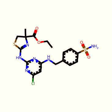 CCOC(=O)C1(C)CSC(Nc2nc(Cl)cc(NCc3ccc(S(N)(=O)=O)cc3)n2)=N1